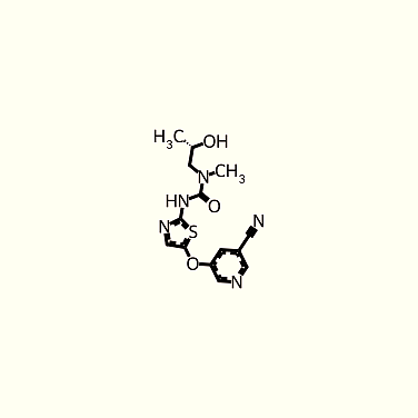 C[C@H](O)CN(C)C(=O)Nc1ncc(Oc2cncc(C#N)c2)s1